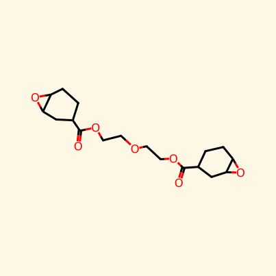 O=C(OCCOCCOC(=O)C1CCC2OC2C1)C1CCC2OC2C1